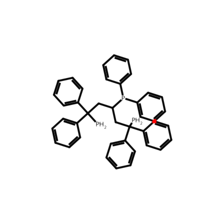 PC(CC(CC(P)(c1ccccc1)c1ccccc1)P(c1ccccc1)c1ccccc1)(c1ccccc1)c1ccccc1